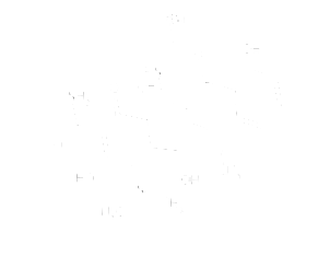 C[C@H]1c2cccc(O)c2C(=O)C2C1[C@H](O)C1[C@H](N(C)C)C(O)=C(C(N)=O)C(=O)[C@@]1(O)C2NCC(C)(C)C